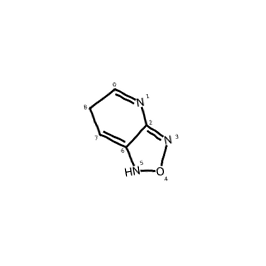 C1=NC2=NONC2=CC1